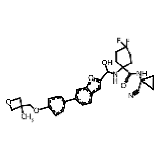 CC1(COc2ccc(-c3ccc4cc(C(O)NC5(C(=O)NC6(C#N)CC6)CCC(F)(F)CC5)oc4c3)cc2)COC1